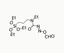 CCO[Si](CCCN(CC)C(=O)N=NOC=O)(OCC)OCC